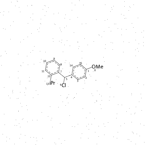 COc1ccc(C(Cl)c2ccccc2C(C)C)cc1